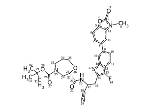 Cn1c(=O)oc2ccc(-c3ccc4c(F)c(CC(C#N)NC(=O)[C@@H]5CN(C(=O)OC(C)(C)C)CCCO5)sc4c3)cc21